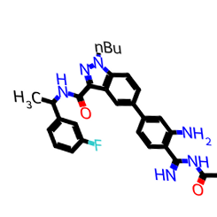 CCCCn1nc(C(=O)NC(C)c2cccc(F)c2)c2cc(-c3ccc(C(=N)NC(=O)C4CC4)c(N)c3)ccc21